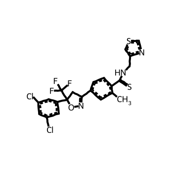 Cc1cc(C2=NOC(c3cc(Cl)cc(Cl)c3)(C(F)(F)F)C2)ccc1C(=S)NCc1cscn1